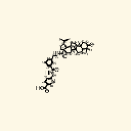 C=C(C)C1CCC2(C(=O)NCCc3cccc(C(=O)NCc4ccc(C(=O)O)cn4)c3)CC[C@]3(C)C(CCC4C5(C)CCC(=O)C(C)(C)C5CCC43C)C12